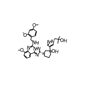 COc1ccc(CNc2nc3c(OC)cccc3c3nc([C@H]4CCC[C@@](O)(c5cnn(CC(C)(C)O)c5)C4)nn23)c(OC)c1